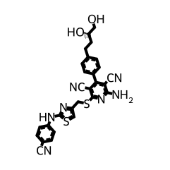 N#Cc1ccc(Nc2nc(CSc3nc(N)c(C#N)c(-c4ccc(CC[C@H](O)CO)cc4)c3C#N)cs2)cc1